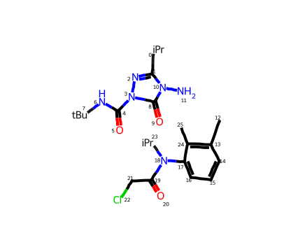 CC(C)c1nn(C(=O)NC(C)(C)C)c(=O)n1N.Cc1cccc(N(C(=O)CCl)C(C)C)c1C